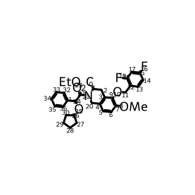 CCOC(=O)C1Cc2c(ccc(OC)c2OCc2ccc(F)cc2F)CN1C(=O)C(OC1CCCC1)c1ccccc1